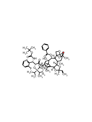 C=CC1(C)O[C@@H]2C3=C(C)[C@@H](OC(=O)[C@H](O[Si](C(C)C)(C(C)C)C(C)C)[C@@H](NC(=O)OC(C)(C)C)c4ncccc4F)C[C@@](O)([C@@H](OC(=O)c4ccccc4)[C@H]4[C@@](C)(CC[C@H]5OC[C@]54OC(C)=O)[C@@H]2O1)C3(C)C